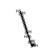 O=C(CCCCCNC(=O)CCCCC1SCC2NC(=O)NC21)NCCCCCC(=O)NCCOCCOCCOCCOCCOCCOCCOCCOCCC(=O)NCCS